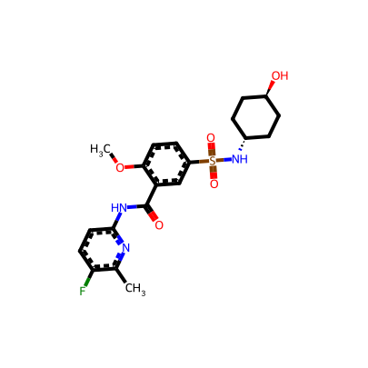 COc1ccc(S(=O)(=O)N[C@H]2CC[C@H](O)CC2)cc1C(=O)Nc1ccc(F)c(C)n1